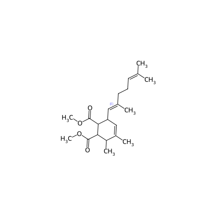 COC(=O)C1C(/C=C(\C)CCC=C(C)C)C=C(C)C(C)C1C(=O)OC